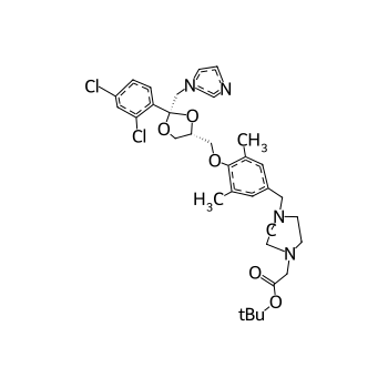 Cc1cc(CN2CCN(CC(=O)OC(C)(C)C)CC2)cc(C)c1OC[C@@H]1CO[C@@](Cn2ccnc2)(c2ccc(Cl)cc2Cl)O1